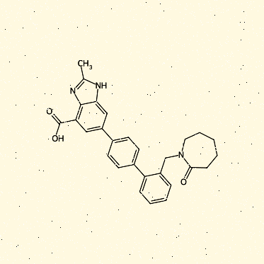 Cc1nc2c(C(=O)O)cc(-c3ccc(-c4ccccc4CN4CCCCCC4=O)cc3)cc2[nH]1